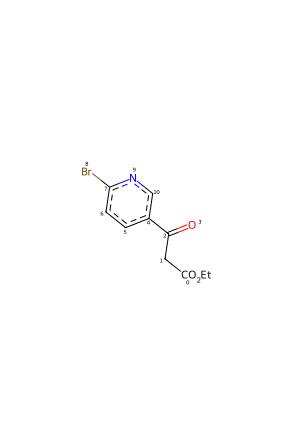 CCOC(=O)CC(=O)c1ccc(Br)nc1